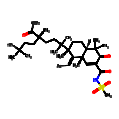 CCCC(C)(C)CC[C@@](C)(CCC(C)(C)[C@]1(C)CC[C@H]2C(C)(C)C(=O)C(C(=O)NS(C)(=O)=O)=C[C@]2(C)/C1=C/C(C)=O)C(=O)OC